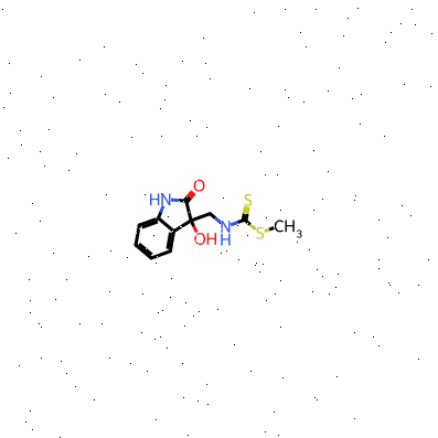 CSC(=S)NCC1(O)C(=O)Nc2ccccc21